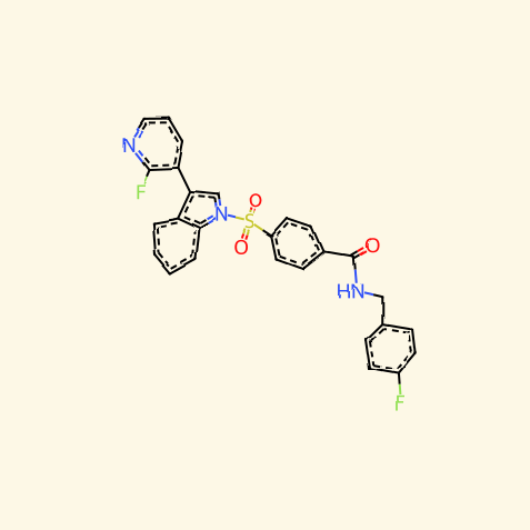 O=C(NCc1ccc(F)cc1)c1ccc(S(=O)(=O)n2cc(-c3cccnc3F)c3ccccc32)cc1